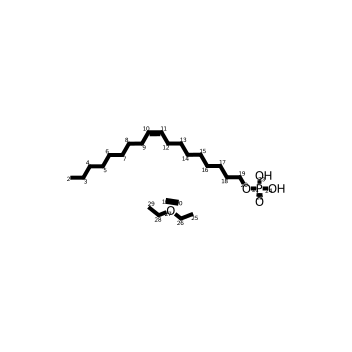 C=C.CCCCCCCC/C=C\CCCCCCCCOP(=O)(O)O.CCOCC